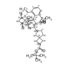 C=Cc1cccc([C@H](C)O)c1-c1c(C#N)c(N2CCC3(CN(C(=O)OC(C)(C)C)C3)C2)nc2c1C[C@H]1C[C@@H]2C1(C)C